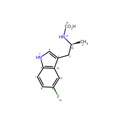 C[C@@H](Cc1c[nH]c2ccc(F)cc12)NC(=O)O